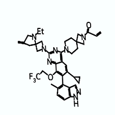 C=CC(=O)N1CC2(CCN(c3nc(N4CC5(CC(=C)CN5CC)C4)nc4c(OCC(F)(F)F)c(-c5c(C)ccc6[nH]ncc56)c(C5CC5)cc34)CC2)C1